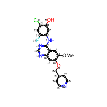 COc1cc2c(Nc3cc(O)c(Cl)cc3F)ncnc2cc1OCc1ccncc1